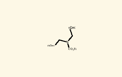 CCCCCCCCCCCN(CCCCCCCCCCC)C(=O)OCC